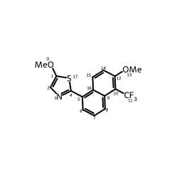 COc1cnc(-c2cccc3c(C(F)(F)F)c(OC)ccc23)s1